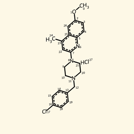 COc1ccc2nc(N3CCN(Cc4ccc(Cl)cc4)CC3)cc(C)c2c1.Cl